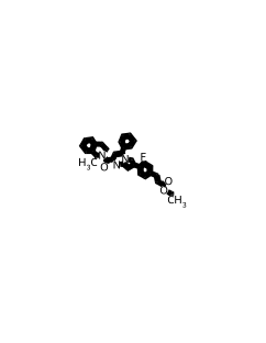 CCOC(=O)/C=C/c1ccc(C2C=C3N=C(C(=O)N4CCc5ccccc5[C@H]4C)C=C(c4ccccc4)N3C2)c(F)c1